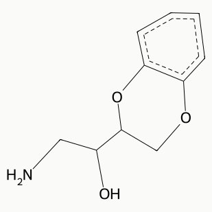 NCC(O)C1COc2ccccc2O1